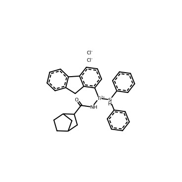 O=C([NH][Ti+2]([c]1cccc2c1Cc1ccccc1-2)[SiH](c1ccccc1)c1ccccc1)C1CC2CCC1C2.[Cl-].[Cl-]